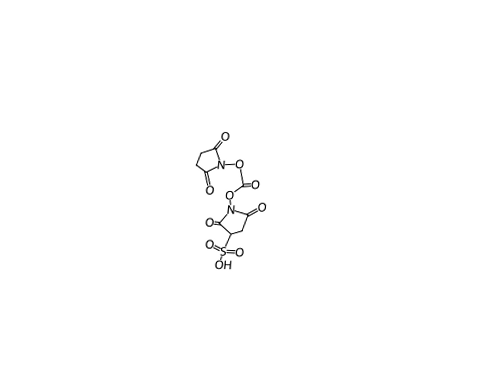 O=C(ON1C(=O)CCC1=O)ON1C(=O)CC(S(=O)(=O)O)C1=O